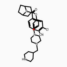 N#Cc1ccc(OC2CC3CCC(C2)N3C(=O)c2ccc(N3CCN(CC4CCNCC4)CC3)cc2)cc1Cl